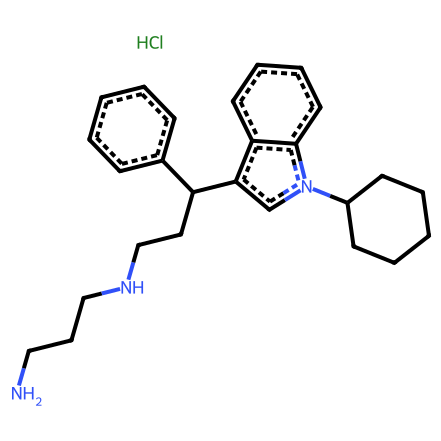 Cl.NCCCNCCC(c1ccccc1)c1cn(C2CCCCC2)c2ccccc12